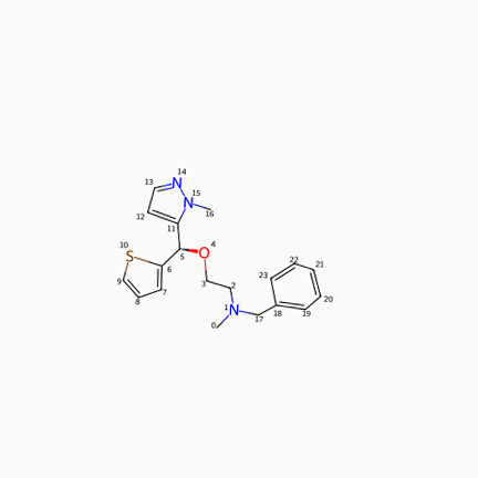 CN(CCO[C@@H](c1cccs1)c1ccnn1C)Cc1ccccc1